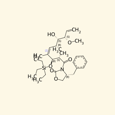 C=C[C@H](OC)[C@@H](O)[C@H](C)/C=C(/C)[C@H](O[Si](CC)(CC)CC)[C@H](C)C(=O)N1C(=O)OC[C@H]1Cc1ccccc1